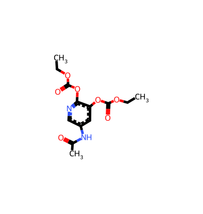 CCOC(=O)Oc1cc(NC(C)=O)cnc1OC(=O)OCC